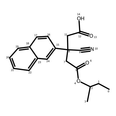 CCC(C)OC(=O)CC(C#N)(CC(=O)O)c1ccc2ccccc2c1